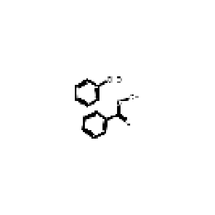 O=C(OO)c1ccccc1.O=Cc1ccccc1